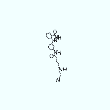 N#CCCNCCCCC(=O)Nc1cccc(-c2n[nH]c(=O)c3ccccc23)c1